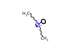 CCCCCCn1cc[n+](CCCCCC)c1-c1ccccc1